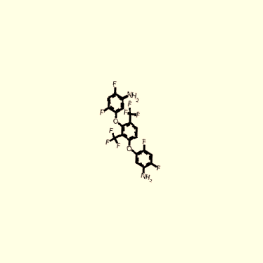 Nc1cc(Oc2ccc(C(F)(F)F)c(Oc3cc(N)c(F)cc3F)c2C(F)(F)F)c(F)cc1F